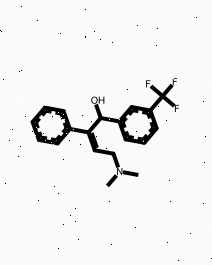 CN(C)CC=C(c1ccccc1)C(O)c1cccc(C(F)(F)F)c1